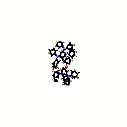 CC(C)(C)c1cc2c3c(c1)N(c1ccccc1)c1cc(N(c4ccccc4)c4ccccc4)cc4c1B3c1cc3c(cc1O2)N(c1ccccc1)c1cc(N(c2ccccc2)c2ccccc2)cc2c1B3c1c(cccc1N2c1ccccc1)O4